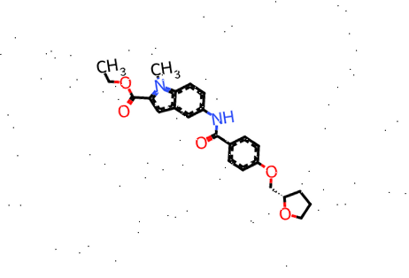 CCOC(=O)c1cc2cc(NC(=O)c3ccc(OC[C@@H]4CCCO4)cc3)ccc2n1C